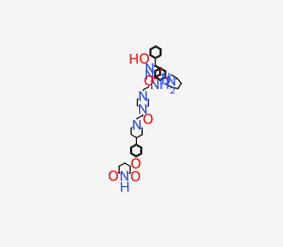 Nc1nnc(-c2ccccc2O)cc1N1CC2CCC(C1)N2c1cccc(OCCN2CCN(C(=O)CN3CCC(c4ccc(OC5CCC(=O)NC5=O)cc4)CC3)CC2)c1